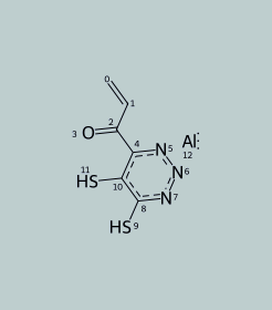 C=CC(=O)c1nnnc(S)c1S.[Al]